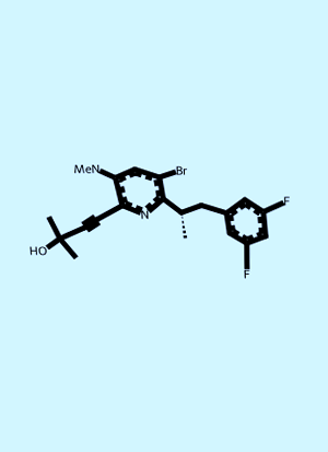 CNc1cc(Br)c([C@@H](C)Cc2cc(F)cc(F)c2)nc1C#CC(C)(C)O